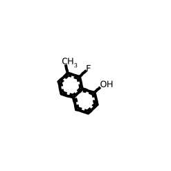 Cc1ccc2cccc(O)c2c1F